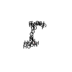 CCCCCCN(Cc1cn(CCOCCOCCOC(=O)c2nc(C(F)(F)F)n3c2CN(C(=O)C[C@H](N)Cc2cc(F)c(F)cc2F)CC3)nn1)CC(O)C(O)C(O)C(O)CO